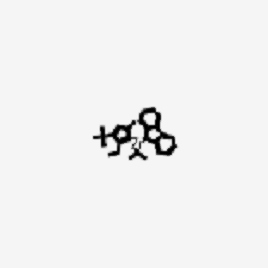 CCC1=[C]([Zr](=[C](C)C)[CH]2c3ccccc3-c3ccccc32)C(C)C=C1C(C)(C)C